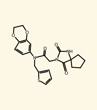 O=C1NC2(CCCC2)C(=O)N1CC(=O)N(Cc1cccs1)c1ccc2c(c1)OCCO2